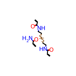 C=CC(=O)NCCSSCCNC(=O)C=C.C=CC(N)=O